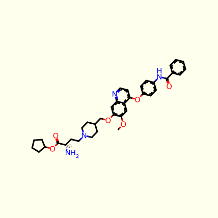 COc1cc2c(Oc3ccc(NC(=O)c4ccccc4)cc3)ccnc2cc1OCC1CCN(CC[C@H](N)C(=O)OC2CCCC2)CC1